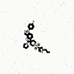 CCCn1cc(S(=O)(=O)N2CCC(C(=O)N3CCCC3)(c3ccc4c(cnn4-c4ccc(F)cc4)c3)CC2)cn1